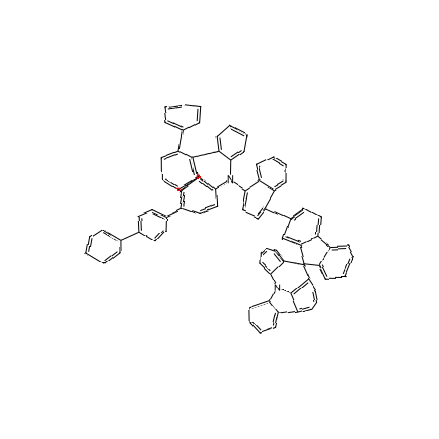 c1ccc(-c2ccc(-c3ccc(N(c4ccccc4-c4ccccc4-c4ccccc4)c4ccc(-c5ccc6c(c5)C5(c7ccccc7-6)c6ccccc6-n6c7ccccc7c7cccc5c76)c5ccccc45)cc3)cc2)cc1